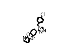 Clc1ccc(Cn2cnnc2[C@H]2CC[C@H](Oc3ncccc3Br)CC2)cc1